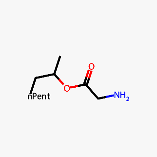 CCCCCCC(C)OC(=O)CN